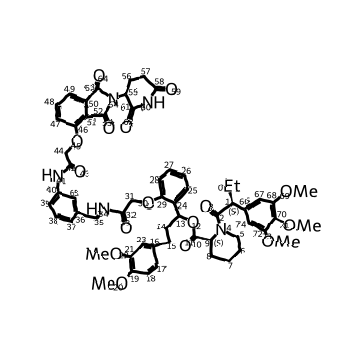 CC[C@H](C(=O)N1CCCC[C@H]1C(=O)OC(CCc1ccc(OC)c(OC)c1)c1ccccc1OCC(=O)NCc1cccc(NC(=O)COc2cccc3c2C(=O)N(C2CCC(=O)NC2=O)C3=O)c1)c1cc(OC)c(OC)c(OC)c1